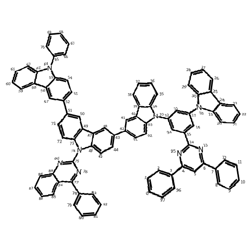 c1ccc(-c2cc(-c3ccccc3)nc(-c3cc(-n4c5ccccc5c5ccccc54)cc(-n4c5ccccc5c5cc(-c6ccc7c(c6)c6cc(-c8ccc9c(c8)c8ccccc8n9-c8ccccc8)ccc6n7-c6nc(-c7ccccc7)c7ccccc7n6)ccc54)c3)n2)cc1